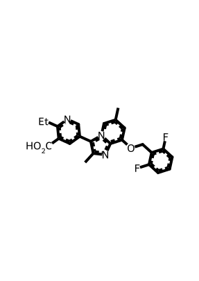 CCc1ncc(-c2c(C)nc3c(OCc4c(F)cccc4F)cc(C)cn23)cc1C(=O)O